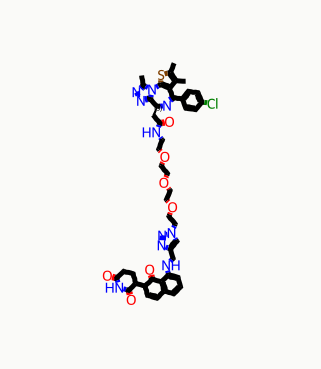 Cc1sc2c(c1C)C(c1ccc(Cl)cc1)=N[C@@H](CC(=O)NCCOCCOCCOCCn1cc(CNc3cccc4c3C(=O)C(C3CCC(=O)NC3=O)C=C4)nn1)c1nnc(C)n1-2